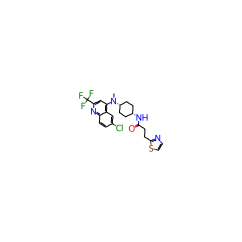 CN(c1cc(C(F)(F)F)nc2ccc(Cl)cc12)[C@H]1CC[C@@H](NC(=O)CCc2nccs2)CC1